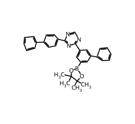 CC1(C)OB(c2cc(-c3ccccc3)cc(-c3ncnc(-c4ccc(-c5ccccc5)cc4)n3)c2)OC1(C)C